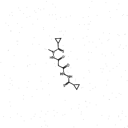 CN(NC(=O)CC(=O)NNC(=S)C1CC1)C(=S)C1CC1